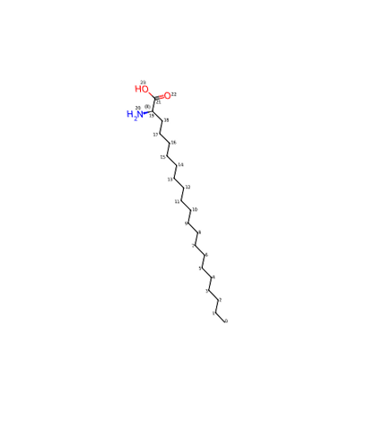 CCCCCCCCCCCCCCCCCCC[C@@H](N)C(=O)O